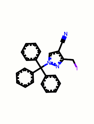 N#Cc1cn(C(c2ccccc2)(c2ccccc2)c2ccccc2)nc1CI